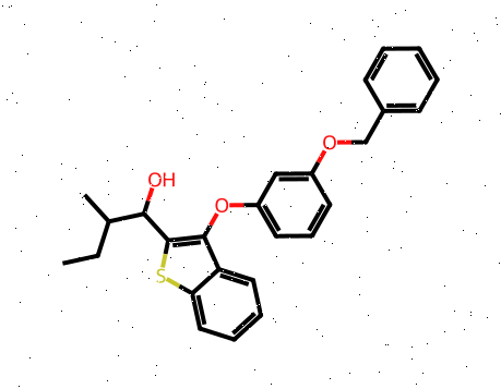 CCC(C)C(O)c1sc2ccccc2c1Oc1cccc(OCc2ccccc2)c1